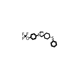 FC(F)(F)Oc1ccc(N2CC[C@]3(CC[C@@H](Sc4ccccc4)CC3)C2)cc1